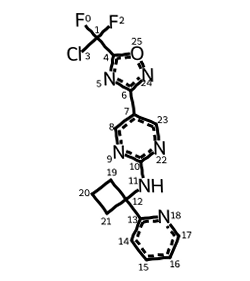 FC(F)(Cl)c1nc(-c2cnc(NC3(c4ccccn4)CCC3)nc2)no1